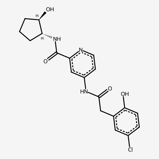 O=C(Cc1cc(Cl)ccc1O)Nc1ccnc(C(=O)N[C@@H]2CCC[C@H]2O)c1